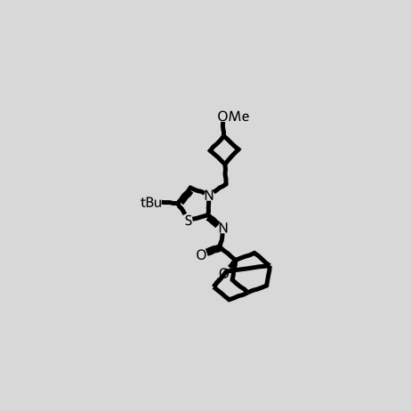 COC1CC(Cn2cc(C(C)(C)C)s/c2=N\C(=O)C23CC4CC(CC(C4)O2)C3)C1